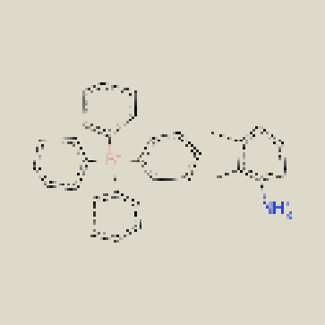 Cc1ccc([NH3+])c(C)c1C.c1ccc([B-](c2ccccc2)(c2ccccc2)c2ccccc2)cc1